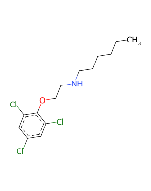 CCCCCCNCCOc1c(Cl)cc(Cl)cc1Cl